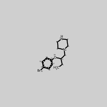 CCC(CN1CCNCC1)Oc1ccc(Br)cc1